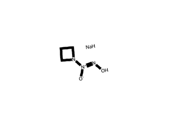 [NaH].[O-]/[N+](=N\O)N1CCC1